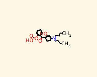 CCCCN(CCCC)c1ccc(C(=O)c2ccccc2OC(=O)O)c(O)c1